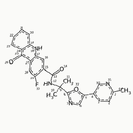 Cc1ccc(-c2cnc(C(C)(C)NC(=O)c3cc4[nH]c5ccccc5c(=O)c4cc3F)o2)cn1